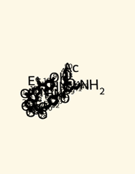 CCc1c2c(nc3ccc(O)cc13)-c1cc3c(c(=O)n1C2)COC(=O)C3(CC)OC(=O)OCc1ccc(NC(=O)C(CCCCN)NC(=O)COCC(C)=O)cc1